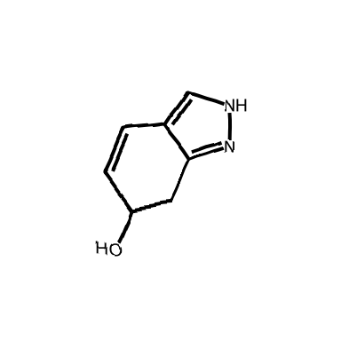 OC1C=Cc2c[nH]nc2C1